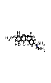 CSc1nc(O)c(C(=O)Nc2ccc(/C(N)=C/N)cc2C(F)(F)F)c(=O)[nH]1